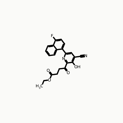 CCOC(=O)CCC(=O)c1nc(-c2ccc(F)c3ccccc23)cc(C#N)c1O